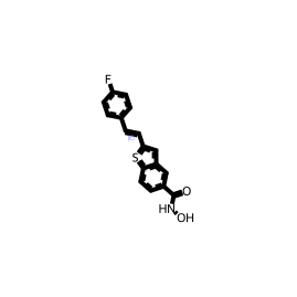 O=C(NO)c1ccc2sc(/C=C/c3ccc(F)cc3)cc2c1